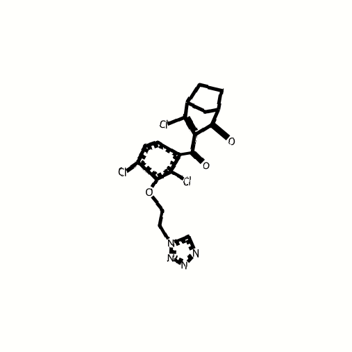 O=C(C1=C(Cl)C2CCC(C2)C1=O)c1ccc(Cl)c(OCCn2cnnn2)c1Cl